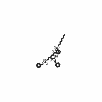 CCCCCCCCOC(=O)[C@@H]1C2CCC(CC2)N1C(=O)C(CCCCNC(=O)OCc1ccccc1)N[C@@H](CCc1ccccc1)C(N)=O